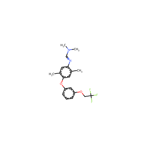 Cc1cc(Oc2cccc(OCC(F)(F)F)c2)c(C)cc1N=CN(C)C